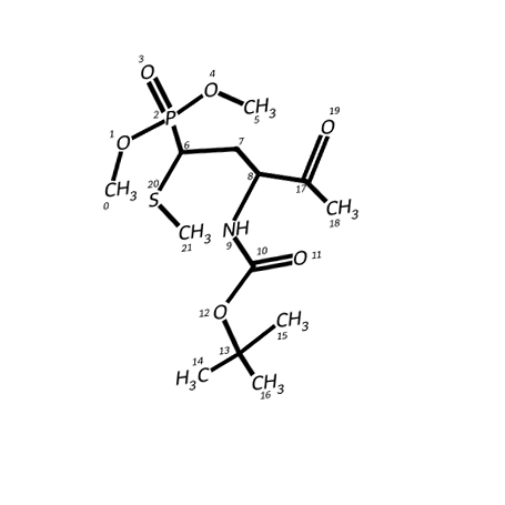 COP(=O)(OC)C(CC(NC(=O)OC(C)(C)C)C(C)=O)SC